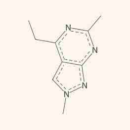 CCc1nc(C)nc2nn(C)cc12